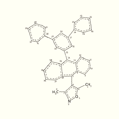 Cc1noc(C)c1-c1c2ccccc2c(-c2cc(-c3ccccc3)cc(-c3ccccc3)c2)c2ccccc12